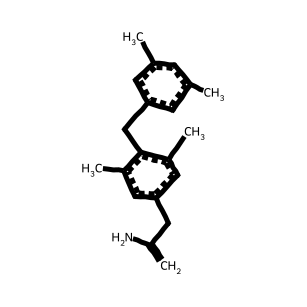 C=C(N)Cc1cc(C)c(Cc2cc(C)cc(C)c2)c(C)c1